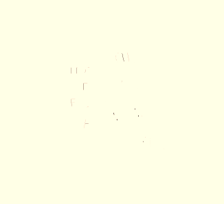 CCn1cc(C(C)C)c(C(F)(F)F)n1